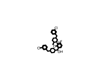 N#Cc1c(F)ccc(C(O)C2CCC(Cc3cccc(Cl)c3)CC2)c1OCC1CCC(Cc2cccc(Cl)c2)CC1